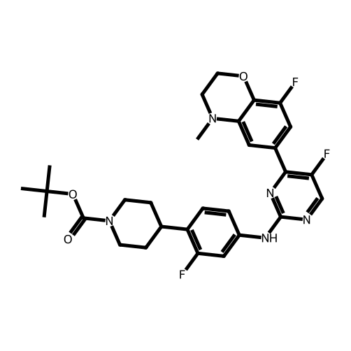 CN1CCOc2c(F)cc(-c3nc(Nc4ccc(C5CCN(C(=O)OC(C)(C)C)CC5)c(F)c4)ncc3F)cc21